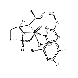 C=C[C@H](C)[C@H]1[C@@H]2CC[C@@H](CN1c1nc(SCC)nc3c(F)c(Cl)nc(Br)c13)N2C(=O)OC(C)(C)C